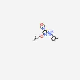 C/C=C(\C)CCOc1cc(N2CCOCC2)cc(N/N=C/c2cccc(C)c2)n1